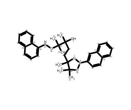 CC(O)(CCC1(C)OB(c2ccc3ccccc3c2)OC1(C)C)C(C)(C)OBc1cccc2ccccc12